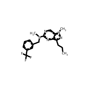 CCCc1nn(C)c2cnc(N(C)Cc3cccc(C(F)(F)F)c3)nc12